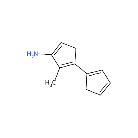 CC1=C(C2=CC=CC2)CC=C1N